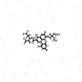 CC(C)(C(F)F)C(NC(=O)c1cn(-c2c(F)cc(F)cc2F)c2nc(N3CC(CO)(CO)C3)c(F)cc2c1=O)C(F)C(F)F